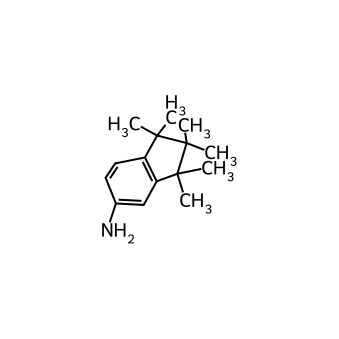 CC1(C)c2ccc(N)cc2C(C)(C)C1(C)C